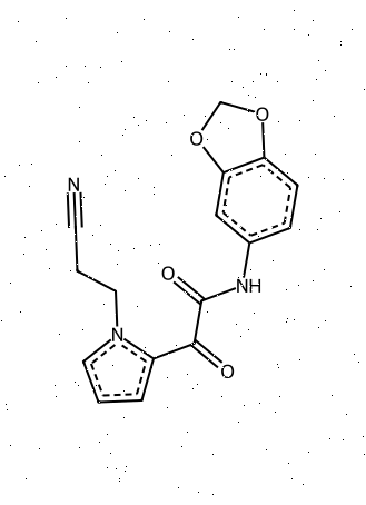 N#CCCn1cccc1C(=O)C(=O)Nc1ccc2c(c1)OCO2